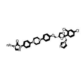 CCCn1cnn(-c2ccc(N3CCN(c4ccc(OC[C@@H]5CO[C@@](Cn6ccnc6)(c6ccc(Cl)cc6Cl)O5)cc4)CC3)cc2)c1=O